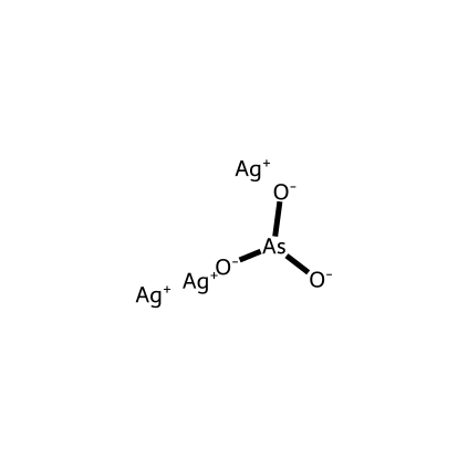 [Ag+].[Ag+].[Ag+].[O-][As]([O-])[O-]